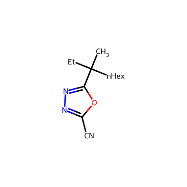 CCCCCCC(C)(CC)c1nnc(C#N)o1